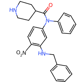 O=C(C1CCNCC1)N(c1ccccc1)c1ccc([N+](=O)[O-])c(NCc2ccccc2)c1